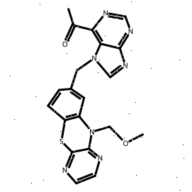 COCN1c2cc(Cn3cnc4ncnc(C(C)=O)c43)ccc2Sc2nccnc21